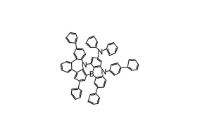 c1ccc(-c2ccc(N3c4ccc(-c5ccccc5)cc4B4c5cc(-c6ccccc6)cc6c5N(c5ccc(-c7ccccc7)cc5-c5ccccc5-6)c5cc(N(c6ccccc6)c6ccccc6)cc3c54)cc2)cc1